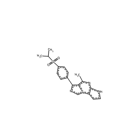 Cc1nc2[nH]ccc2n2cnc(-c3ccc(S(=O)(=O)C(C)C)cc3)c12